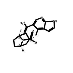 CCC(=O)N1[C@@H]2CC[C@H]1C[C@H](Nc1c(C(N)=O)cnc3[nH]ccc13)C2